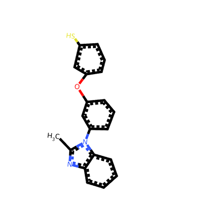 Cc1nc2ccccc2n1-c1cccc(Oc2cccc(S)c2)c1